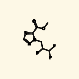 COC(=O)c1ncnn1CC(F)C(F)F